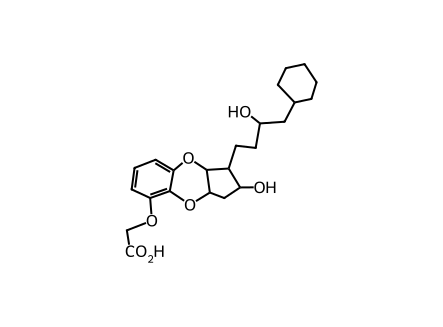 O=C(O)COc1cccc2c1OC1CC(O)C(CCC(O)CC3CCCCC3)C1O2